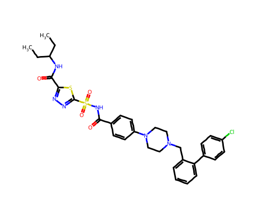 CCC(CC)NC(=O)c1nnc(S(=O)(=O)NC(=O)c2ccc(N3CCN(Cc4ccccc4-c4ccc(Cl)cc4)CC3)cc2)s1